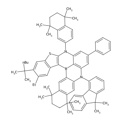 CCCCC(C)(C)c1cc2sc3c(c2cc1CC)B1c2cc4c(cc2N(c2cccc5c2-c2ccccc2C5(C)C)c2cc(-c5ccccc5)cc(c21)N3c1ccc2c(c1)C(C)(C)CCC2(C)C)C(C)(C)CCC4(C)C